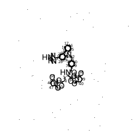 O=C(CC[C@H](NC(=O)c1ccc(Cn2c3ccccc3c3cc(-c4nn[nH]n4)ccc32)cc1)C(=O)ON1C(=O)CCC1=O)ON1C(=O)CCC1=O